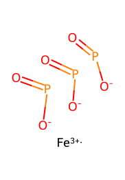 O=P[O-].O=P[O-].O=P[O-].[Fe+3]